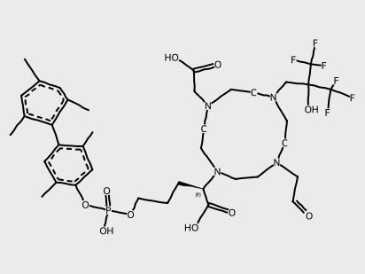 Cc1cc(C)c(-c2cc(C)c(OP(=O)(O)OCCC[C@H](C(=O)O)N3CCN(CC=O)CCN(CC(O)(C(F)(F)F)C(F)(F)F)CCN(CC(=O)O)CC3)cc2C)c(C)c1